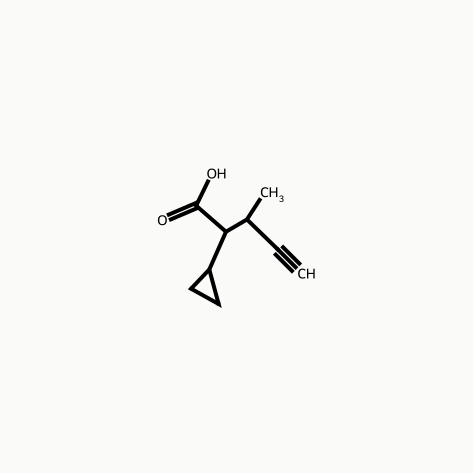 C#CC(C)C(C(=O)O)C1CC1